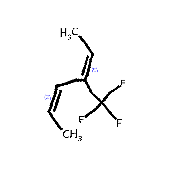 C/C=C\C(=C/C)C(F)(F)F